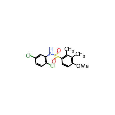 COc1ccc(S(=O)(=O)Nc2cc(Cl)ccc2Cl)c(C)c1C